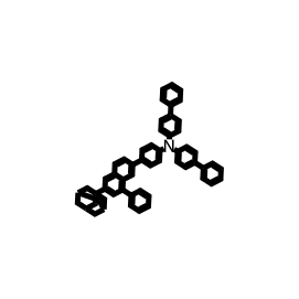 c1ccc(-c2ccc(N(c3ccc(-c4ccccc4)cc3)c3ccc(-c4ccc5cc(C67CC8CC(CC(C8)C6)C7)cc(-c6ccccc6)c5c4)cc3)cc2)cc1